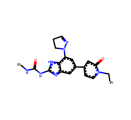 CCNC(=O)Nc1nc2cc(-c3ccn(CC(C)C)c(=O)c3)cc(N3CCC=N3)c2[nH]1